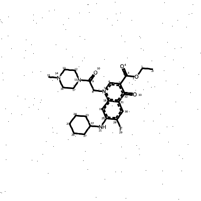 CCOC(=O)c1cn(CC(=O)N2CCN(C)CC2)c2cc(NC3CCCCC3)c(F)cc2c1=O